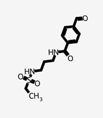 CCS(=O)(=O)NCCCNC(=O)c1ccc(C=O)cc1